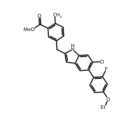 CCOc1ccc(-c2cc3cc(Cc4ccc(C)c(C(=O)OC)c4)[nH]c3cc2Cl)c(F)c1